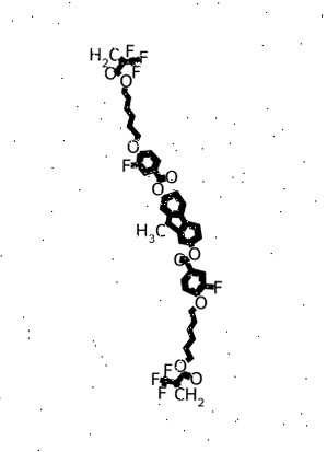 C=C(C(=O)OCCCCCCOc1ccc(C(=O)Oc2ccc3c(c2)C(C)c2cc(OC(=O)c4ccc(OCCCCCCOC(=O)C(=C)C(F)(F)F)c(F)c4)ccc2-3)cc1F)C(F)(F)F